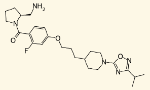 CC(C)c1noc(N2CCC(CCCOc3ccc(C(=O)N4CCC[C@H]4CN)c(F)c3)CC2)n1